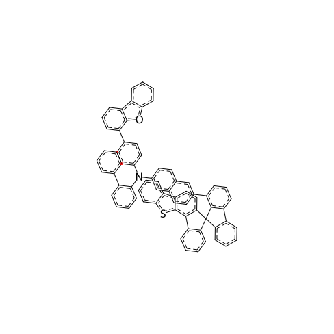 c1ccc(-c2ccccc2N(c2ccc(-c3cccc4c3oc3ccccc34)cc2)c2ccc3cc(-c4cccc5c4C4(c6ccccc6-5)c5ccccc5-c5c4ccc4c5sc5ccccc54)ccc3c2)cc1